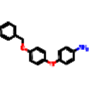 Nc1ccc(Oc2ccc(OCc3ccccc3)cc2)cc1